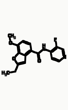 CCc1cc2c(C(=O)Nc3ccncc3F)ccc(OC)c2o1